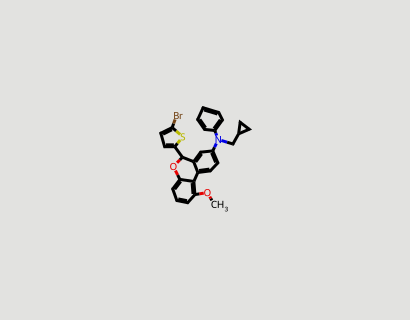 COc1cccc2c1-c1ccc(N(CC3CC3)c3ccccc3)cc1C(c1ccc(Br)s1)O2